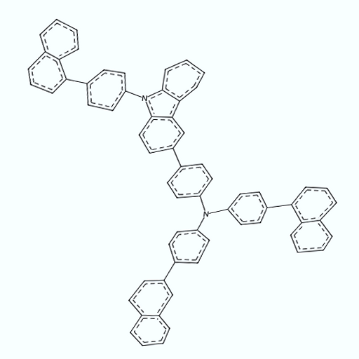 c1ccc2cc(-c3ccc(N(c4ccc(-c5ccc6c(c5)c5ccccc5n6-c5ccc(-c6cccc7ccccc67)cc5)cc4)c4ccc(-c5cccc6ccccc56)cc4)cc3)ccc2c1